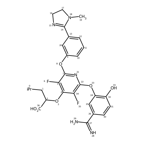 CC(C)CC(Oc1c(F)c(Oc2cccc(C3=NCCN3C)c2)nc(Oc2cc(C(=N)N)ccc2O)c1F)C(=O)O